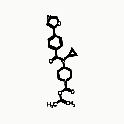 C=C(C)OC(=O)N1CCC(N(C(=O)c2ccc(-c3cnco3)cc2)C2CC2)CC1